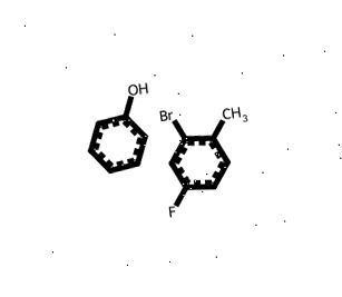 Cc1ccc(F)cc1Br.Oc1ccccc1